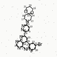 Nc1ncnc2nc(-c3ccc(N4CCC5(CC4)OCCCO5)nn3)cc(-c3cccc(Br)c3)c12